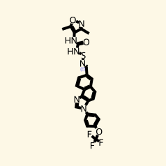 Cc1noc(C)c1NC(=O)NS/N=C/c1ccc2c(ccc3c2ncn3-c2ccc(OC(F)(F)F)cc2)c1